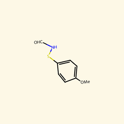 COc1ccc(SNC=O)cc1